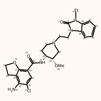 CCn1c(=O)n(CCN2CC[C@@H](NC(=O)c3cc(Cl)c(N)c4c3OCC4)[C@@H](OC)C2)c2ccccc21